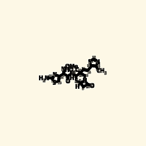 CON=C(C(=O)NC1S[C@@H]2CC(=O)N2CC1(C=Cc1scnc1C)C(=O)O)c1csc(N)n1